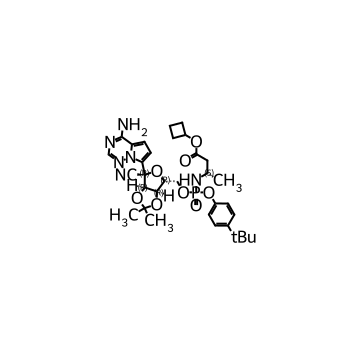 C[C@@H](CC(=O)OC1CCC1)NP(=O)(OC[C@H]1O[C@@](C#N)(c2ccc3c(N)ncnn23)[C@@H]2OC(C)(C)O[C@@H]21)Oc1ccc(C(C)(C)C)cc1